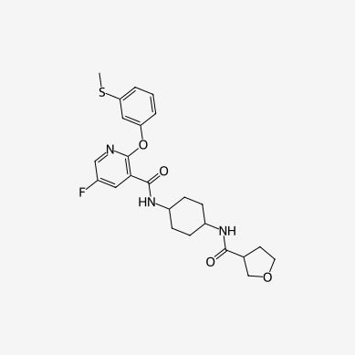 CSc1cccc(Oc2ncc(F)cc2C(=O)NC2CCC(NC(=O)C3CCOC3)CC2)c1